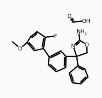 COc1ccc(F)c(-c2cccc(C3(c4ccccc4)COC(N)=N3)c2)c1.O=CO